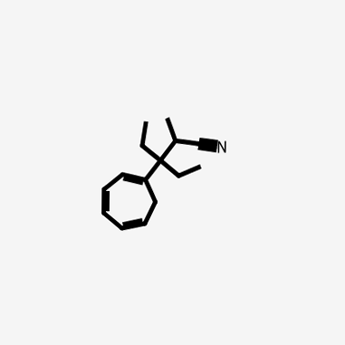 CCC(CC)(C1=CC=CC=CC1)C(C)C#N